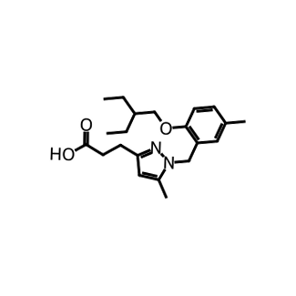 CCC(CC)COc1ccc(C)cc1Cn1nc(CCC(=O)O)cc1C